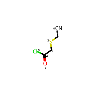 N#CCSCC(=O)Cl